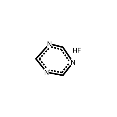 F.c1ncncn1